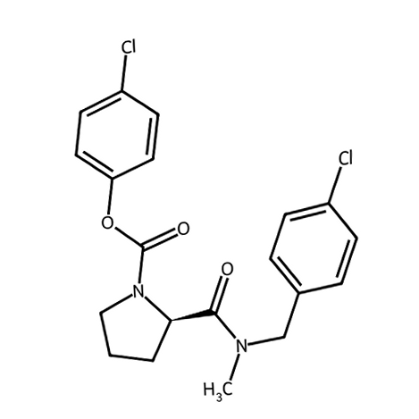 CN(Cc1ccc(Cl)cc1)C(=O)[C@H]1CCCN1C(=O)Oc1ccc(Cl)cc1